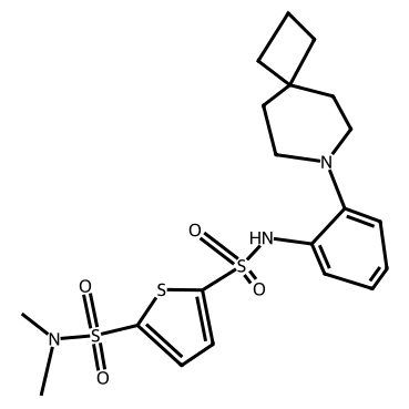 CN(C)S(=O)(=O)c1ccc(S(=O)(=O)Nc2ccccc2N2CCC3(CCC3)CC2)s1